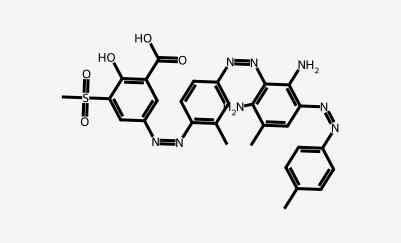 Cc1ccc(/N=N\c2cc(C)c(N)c(/N=N\c3ccc(/N=N\c4cc(C(=O)O)c(O)c(S(C)(=O)=O)c4)c(C)c3)c2N)cc1